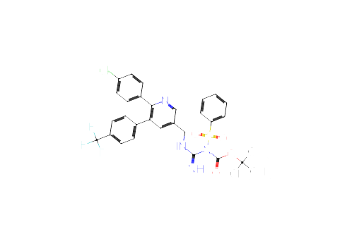 CC(C)(C)OC(=O)N(C(=N)NCc1cnc(-c2ccc(Cl)cc2)c(-c2ccc(C(F)(F)F)cc2)c1)S(=O)(=O)c1ccccc1